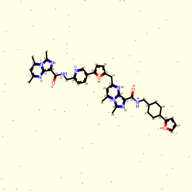 Cc1cc(C)n2c(C)nc(C(=O)NCc3ccc(-c4ccc(Cc5cc(C)n6c(C)nc(C(=O)NCC7CCC(c8ccco8)CC7)c6n5)o4)cn3)c2n1